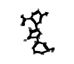 O=[N+]([O-])c1ccc(Br)cc1-c1cc(-c2cccc(Br)c2)on1